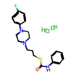 Cl.Cl.O=C(Nc1ccccc1)SCCCN1CCN(c2ccc(F)cc2)CC1